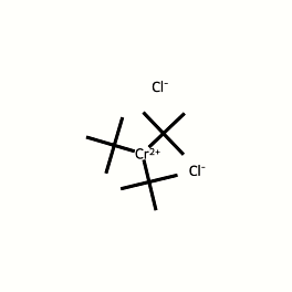 C[C](C)(C)[Cr+2]([C](C)(C)C)[C](C)(C)C.[Cl-].[Cl-]